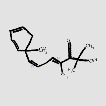 C/C(=C\C=C/C1(C)C=CC=CC1)C(=O)C(C)(C)O